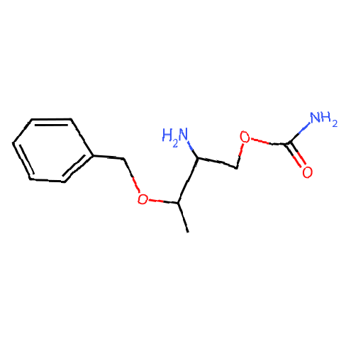 CC(OCc1ccccc1)C(N)COC(N)=O